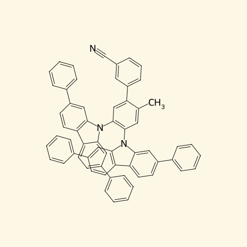 Cc1cc(-n2c3cc(-c4ccccc4)ccc3c3ccc(-c4ccccc4)cc32)c(-n2c3cc(-c4ccccc4)ccc3c3ccc(-c4ccccc4)cc32)cc1-c1cccc(C#N)c1